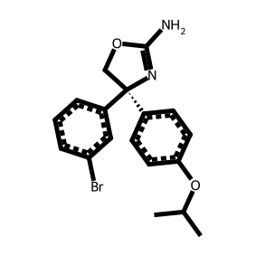 CC(C)Oc1ccc([C@]2(c3cccc(Br)c3)COC(N)=N2)cc1